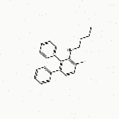 [CH2]c1ccc(-c2ccccc2)c(-c2ccccc2)c1NCCCC